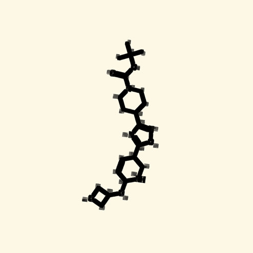 CC(C)(C)OC(=O)N1CCC(c2noc(C3C=CC(OC4COC4)NC3)n2)CC1